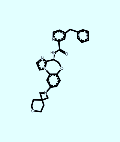 O=C(N[C@H]1COc2ccc(N3CC4(CCOCC4)C3)cc2-n2ccnc21)c1cc(Cc2ccccc2)ccn1